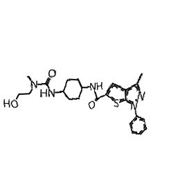 Cc1nn(-c2ccccc2)c2sc(C(=O)NC3CCC(NC(=O)N(C)CCO)CC3)cc12